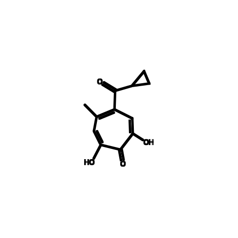 Cc1cc(O)c(=O)c(O)cc1C(=O)C1CC1